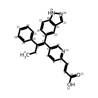 CCC(=C(c1ccc(C=CC(=O)O)nc1)c1ccc2[nH]ncc2c1)c1ccccc1